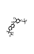 CC(=O)NC(C)(I)c1ccc2cc(Nc3ccc(OCC(F)(F)F)cc3Cl)ccc2c1